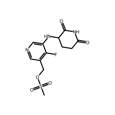 CS(=O)(=O)OCc1cncc(NC2CCC(=O)NC2=O)c1F